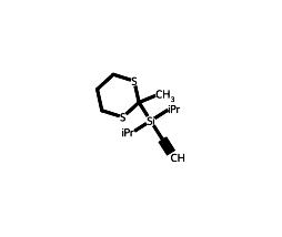 C#C[Si](C(C)C)(C(C)C)C1(C)SCCCS1